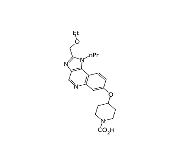 CCCn1c(COCC)nc2cnc3cc(OC4CCN(C(=O)O)CC4)ccc3c21